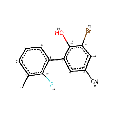 Cc1cccc(-c2cc(C#N)cc(Br)c2O)c1F